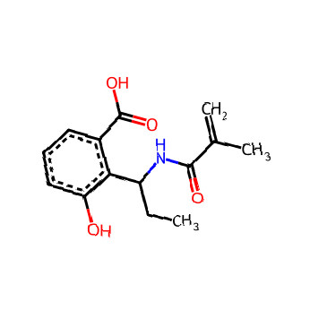 C=C(C)C(=O)NC(CC)c1c(O)cccc1C(=O)O